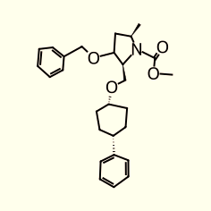 COC(=O)N1[C@H](C)CC(OCc2ccccc2)[C@@H]1CO[C@H]1CC[C@@H](c2ccccc2)CC1